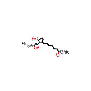 CCCCC[C@H](O)C=C[C@@H]1C(CCCCCCC(=O)OC)=CC[C@H]1O